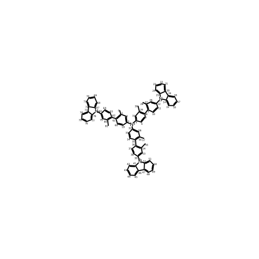 Cc1cc(N(c2ccc(-c3ccc(-n4c5ccccc5c5ccccc54)cc3C)c(C)c2)c2ccc(-c3ccc(-n4c5ccccc5c5ccccc54)cc3C)c(C)c2)ccc1-c1ccc(-n2c3ccccc3c3ccccc32)cc1C